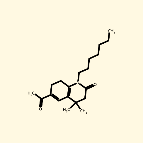 CCCCCCCN1C(=O)CC(C)(C)C2=C1CCC(C(C)=O)=C2